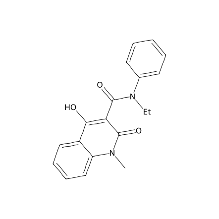 CCN(C(=O)c1c(O)c2ccccc2n(C)c1=O)c1ccccc1